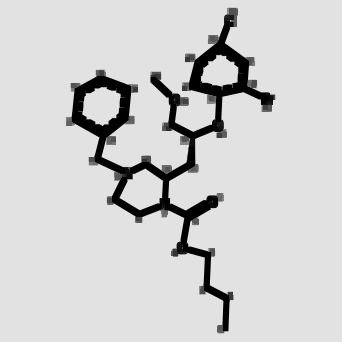 CCCCOC(=O)N1CCN(Cc2ccccc2)CC1C[C@@H](COC)Oc1ccc(Cl)cc1Br